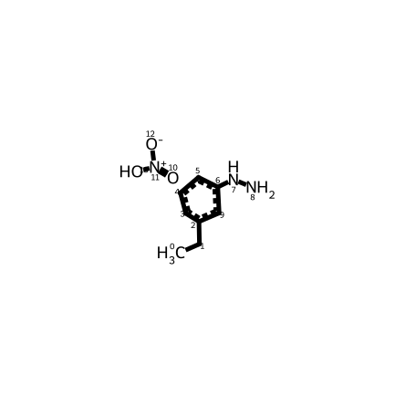 CCc1cccc(NN)c1.O=[N+]([O-])O